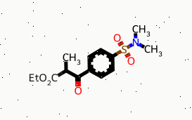 CCOC(=O)C(C)C(=O)c1ccc(S(=O)(=O)N(C)C)cc1